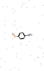 CC(C)c1ccc(P=O)cc1